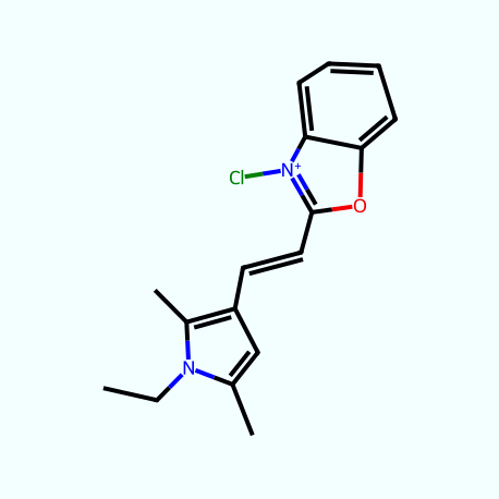 CCn1c(C)cc(C=Cc2oc3ccccc3[n+]2Cl)c1C